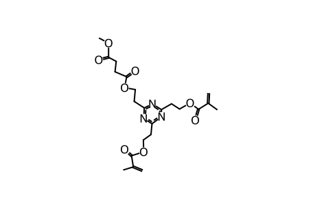 C=C(C)C(=O)OCCc1nc(CCOC(=O)CCC(=O)OC)nc(CCOC(=O)C(=C)C)n1